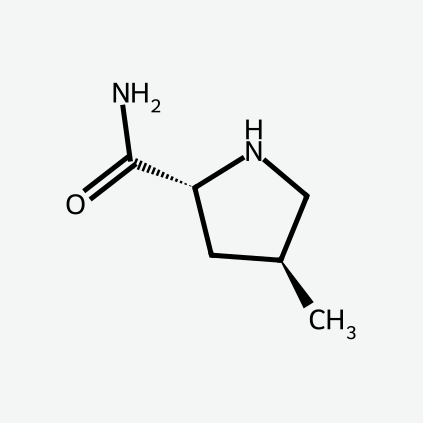 C[C@@H]1CN[C@@H](C(N)=O)C1